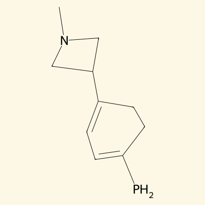 CN1CC(C2=CC=C(P)CC2)C1